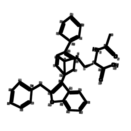 CC(=O)N[C@@H](CSC1C2=CC1(c1c(Cc3ccccc3)oc3ccccc13)CC=C2c1ccccc1)C(=O)O